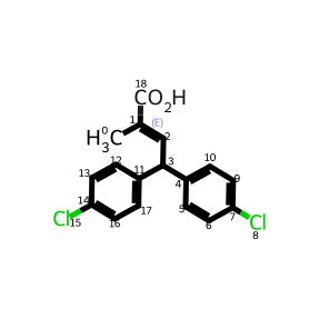 C/C(=C\C(c1ccc(Cl)cc1)c1ccc(Cl)cc1)C(=O)O